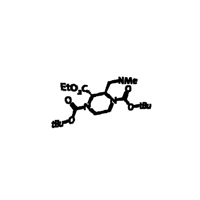 CCOC(=O)[C@@H]1[C@@H](CNC)N(C(=O)OC(C)(C)C)CCN1C(=O)OC(C)(C)C